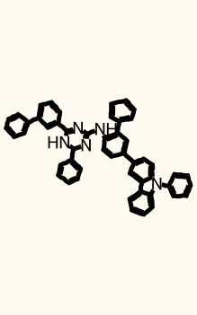 c1ccc(-c2cccc(C3=NC(Nc4ccc(-c5ccc6c(c5)c5ccccc5n6-c5ccccc5)cc4-c4ccccc4)=NC(c4ccccc4)N3)c2)cc1